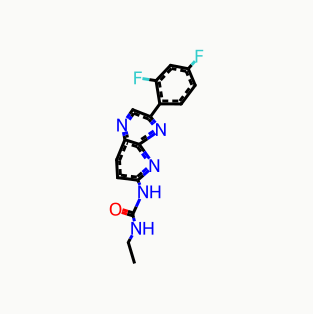 CCNC(=O)Nc1ccc2ncc(-c3ccc(F)cc3F)nc2n1